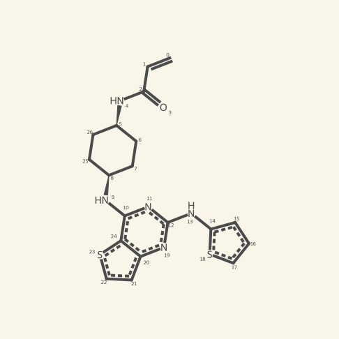 C=CC(=O)N[C@H]1CC[C@@H](Nc2nc(Nc3cccs3)nc3ccsc23)CC1